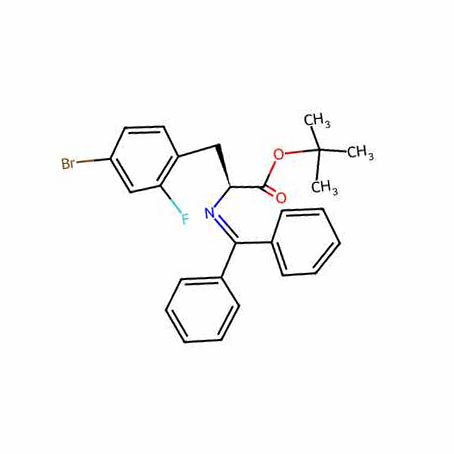 CC(C)(C)OC(=O)[C@H](Cc1ccc(Br)cc1F)N=C(c1ccccc1)c1ccccc1